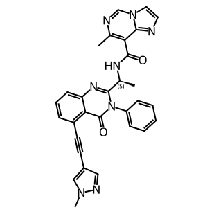 Cc1ncn2ccnc2c1C(=O)N[C@@H](C)c1nc2cccc(C#Cc3cnn(C)c3)c2c(=O)n1-c1ccccc1